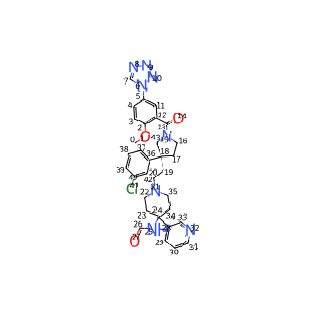 COc1ccc(-n2cnnn2)cc1C(=O)N1CCC(CCN2CCC(NC=O)(c3cccnc3)CC2)(c2cccc(Cl)c2)C1